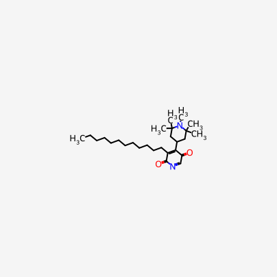 CCCCCCCCCCCCC1=C(C2CC(C)(C)N(C)C(C)(C)C2)C(=O)C=NC1=O